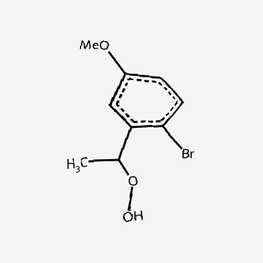 COc1ccc(Br)c(C(C)OO)c1